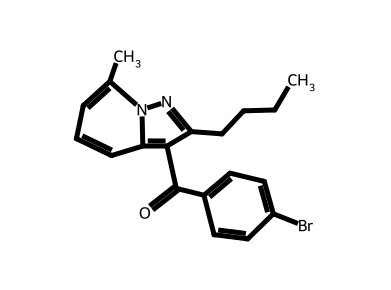 CCCCc1nn2c(C)cccc2c1C(=O)c1ccc(Br)cc1